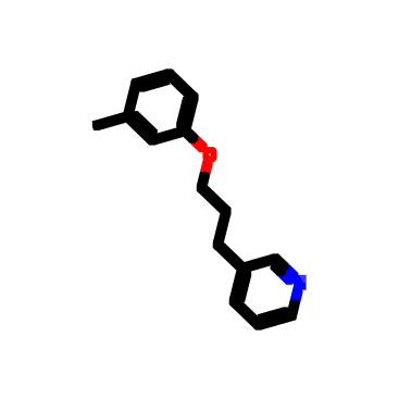 Cc1cccc(OCCCc2cccnc2)c1